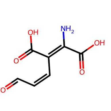 N/C(C(=O)O)=C(/C=C\C=O)C(=O)O